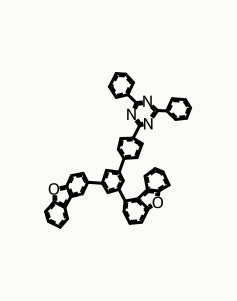 c1ccc(-c2nc(-c3ccccc3)nc(-c3ccc(-c4cc(-c5ccc6oc7ccccc7c6c5)cc(-c5cccc6oc7ccccc7c56)c4)cc3)n2)cc1